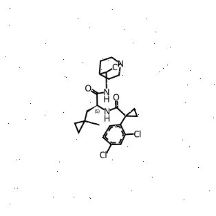 CC1(C[C@H](NC(=O)C2(c3ccc(Cl)cc3Cl)CC2)C(=O)NC2CN3CCC2CC3)CC1